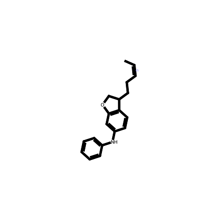 C/C=C\CCC1COc2cc(Nc3ccccc3)ccc21